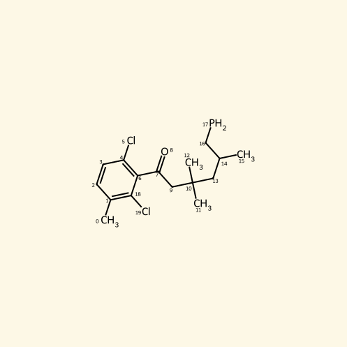 Cc1ccc(Cl)c(C(=O)CC(C)(C)CC(C)CP)c1Cl